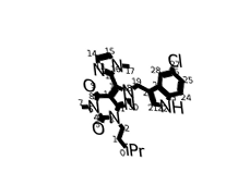 CC(C)CCn1c(=O)n(C)c(=O)c2c(-c3nccn3C)n(Cc3c[nH]c4ccc(Cl)cc34)nc21